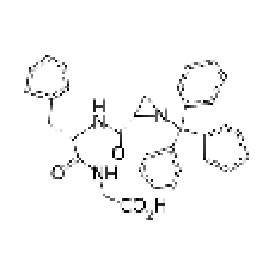 O=C(O)CNC(=O)[C@H](Cc1ccccc1)NC(=O)[C@@H]1CN1C(c1ccccc1)(c1ccccc1)c1ccccc1